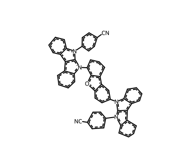 N#Cc1ccc(-n2c3ccccc3c3c4ccccc4n(-c4ccc5oc6c(-n7c8ccccc8c8c9ccccc9n(-c9ccc(C#N)cc9)c87)cccc6c5c4)c32)cc1